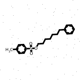 Cc1ccc(S(=O)(=O)OCCCCCCCc2ccccc2)cc1